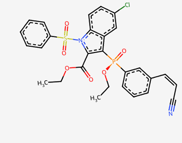 CCOC(=O)c1c([P@@](=O)(OCC)c2cccc(/C=C\C#N)c2)c2cc(Cl)ccc2n1S(=O)(=O)c1ccccc1